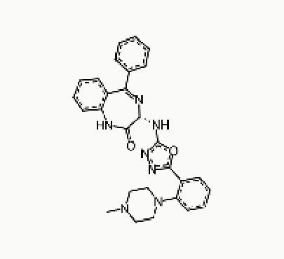 CN1CCN(c2ccccc2-c2nnc(N[C@H]3N=C(c4ccccc4)c4ccccc4NC3=O)o2)CC1